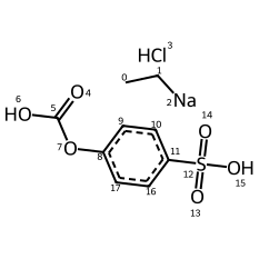 C[CH2][Na].Cl.O=C(O)Oc1ccc(S(=O)(=O)O)cc1